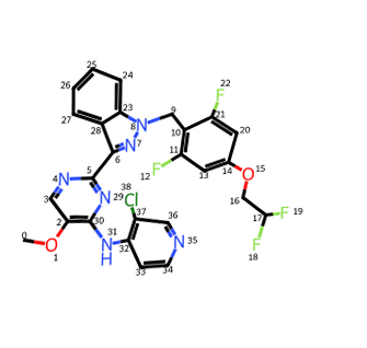 COc1cnc(-c2nn(Cc3c(F)cc(OCC(F)F)cc3F)c3ccccc23)nc1Nc1ccncc1Cl